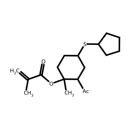 C=C(C)C(=O)OC1(C)CCC(SC2CCCC2)CC1C(C)=O